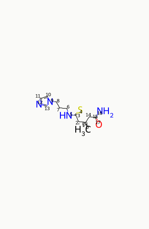 C[C@@H]([CH]C(=S)NCCCn1ccnc1)CC(N)=O